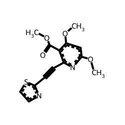 COC(=O)c1c(OC)cc(OC)nc1C#Cc1nccs1